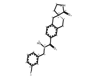 O=C(c1ccc2c(c1)CC[C@@]1(CCNC1=O)C2)N(O)Cc1cccc(F)c1